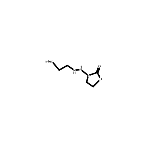 CCCCCCCCNNN1CCOC1=O